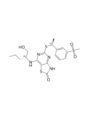 CCC[C@H](CO)Nc1nc(S[C@@H](C)c2cccc(S(C)(=O)=O)c2)nc2[nH]c(=O)sc12